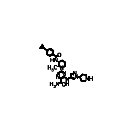 C[C@@H]1[C@H](NC(=O)c2ccc(C3CC3)cc2)CCCN1c1cnc(C(N)=O)c(Nc2cnn(C3CCNCC3)c2)n1